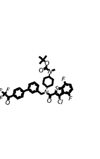 CN(C(=O)OC(C)(C)C)[C@H]1CC[C@H](N(Cc2cccc(-c3ccc(C(=O)C(F)(F)F)cc3)c2)C(=O)c2sc3c(F)ccc(F)c3c2Cl)CC1